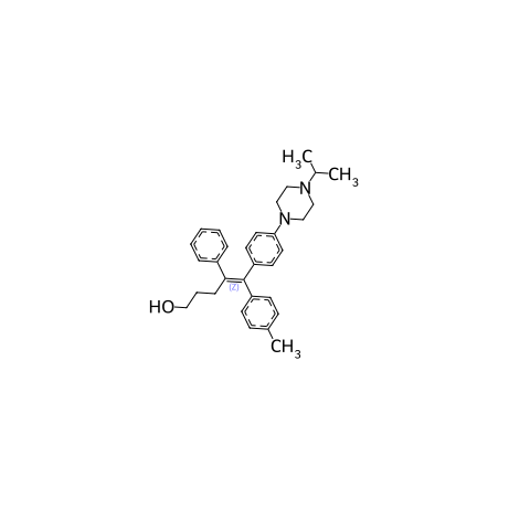 Cc1ccc(/C(=C(\CCCO)c2ccccc2)c2ccc(N3CCN(C(C)C)CC3)cc2)cc1